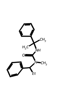 CCC(c1ccccc1)N(C)C(=O)NC(C)(C)c1ccccc1